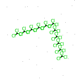 ClC(Cl)Cl.ClC(Cl)Cl.ClC(Cl)Cl.ClC(Cl)Cl.ClC(Cl)Cl.ClC(Cl)Cl.ClC(Cl)Cl.ClC(Cl)Cl.ClC(Cl)Cl.ClC(Cl)Cl.ClC(Cl)Cl